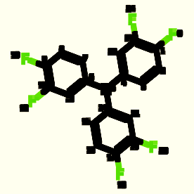 Fc1cc[c]([Bi]([c]2ccc(F)c(F)c2)[c]2ccc(F)c(F)c2)cc1F